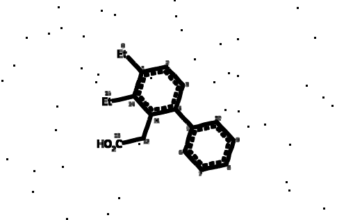 CCc1ccc(-c2ccccc2)c(CC(=O)O)c1CC